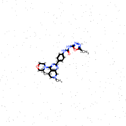 Cc1nnc(NC(=O)Nc2ccc(-c3nc4c(c(N5CCOC[C@@H]5C)n3)CCN(C)C4)cc2)o1